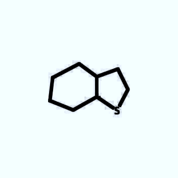 C1CCC2CCS[C]2C1